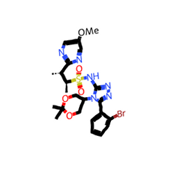 COc1cnc([C@@H](C)[C@H](C)S(=O)(=O)Nc2nnc(-c3ccccc3Br)n2C2COC(C)(C)OC2)nc1